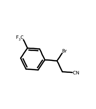 N#CCC(Br)c1cccc(C(F)(F)F)c1